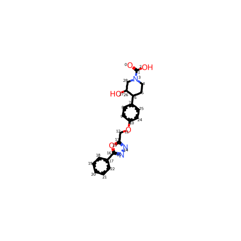 O=C(O)N1CCC(c2ccc(OCc3nnc(-c4ccccc4)o3)cc2)C(O)C1